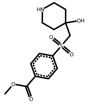 COC(=O)c1ccc(S(=O)(=O)CC2(O)CCNCC2)cc1